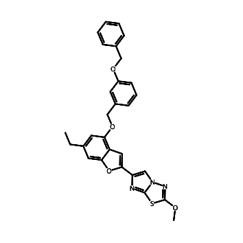 CCc1cc(OCc2cccc(OCc3ccccc3)c2)c2cc(-c3cn4nc(OC)sc4n3)oc2c1